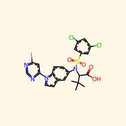 CC(C)(C)C(C(=O)O)N(c1ccc2c(ccn2-c2cc(I)ncn2)c1)S(=O)(=O)c1cc(Cl)cc(Cl)c1